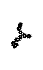 c1ccc(-c2ccc(N(c3ccc(-c4ccc(-c5cccc6ccccc56)cc4)cc3)c3ccc(-c4ccc5ccccc5c4)cc3)cc2)cc1